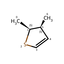 C[C@@H]1SC=C[C@@H]1C